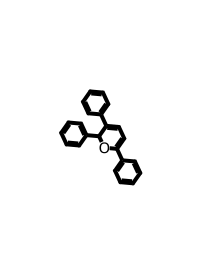 C1=C(c2ccccc2)OC(c2ccccc2)C(c2ccccc2)=C1